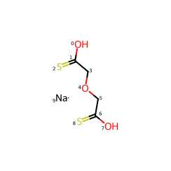 OC(=S)COCC(O)=S.[Na]